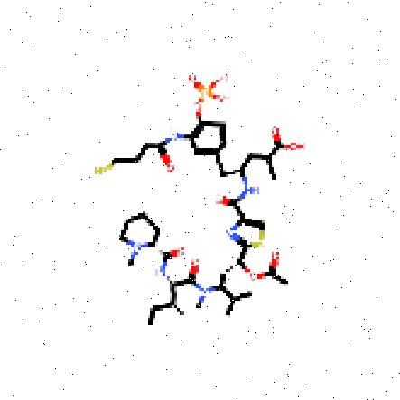 CC[C@H](C)[C@H](NC(=O)[C@H]1CCCCN1C)C(=O)N(C)C(C[C@@H](OC(C)=O)c1nc(C(=O)N[C@@H](Cc2ccc(OP(=O)(O)O)c(NC(=O)CCCS)c2)CC(C)C(=O)O)cs1)C(C)C